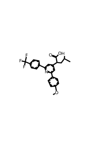 COc1ccc(-c2cc(C(CC(C)C)C(=O)O)cc(-c3ccc(C(F)(F)F)cc3)n2)cc1